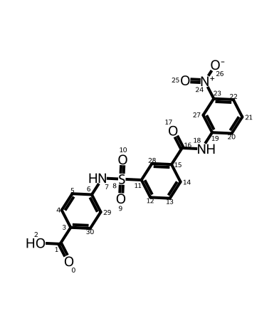 O=C(O)c1ccc(NS(=O)(=O)c2cccc(C(=O)Nc3cccc([N+](=O)[O-])c3)c2)cc1